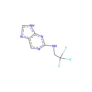 FC(F)(F)CNc1ncc2nc[nH]c2n1